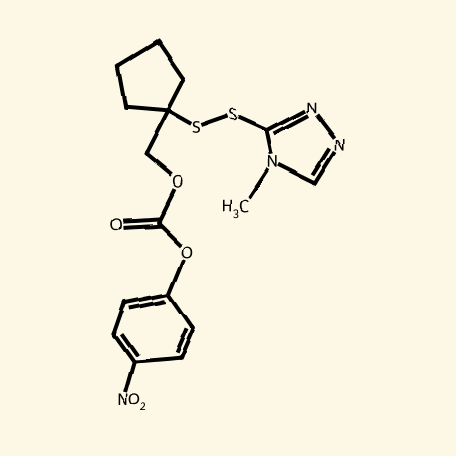 Cn1cnnc1SSC1(COC(=O)Oc2ccc([N+](=O)[O-])cc2)CCCC1